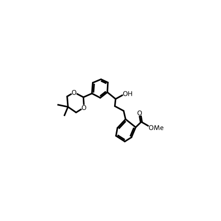 COC(=O)c1ccccc1CCC(O)c1cccc(C2OCC(C)(C)CO2)c1